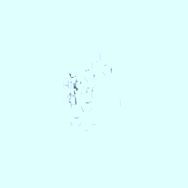 CCCCC1=Cc2c(-c3ccccc3C(F)(F)F)cccc2[CH]1[Zr]([Cl])([Cl])([B](NC=O)NC=O)[CH]1C(CCCC)=Cc2c(-c3ccccc3C(F)(F)F)cccc21